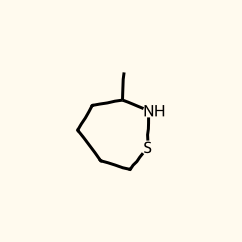 CC1CCCCSN1